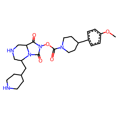 COc1ccc(C2CCN(C(=O)ON3C(=O)C4CNCC(CC5CCNCC5)N4C3=O)CC2)cc1